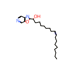 CCCCCCCC/C=C\CCCCCCCC(O)c1nc2ccncc2o1